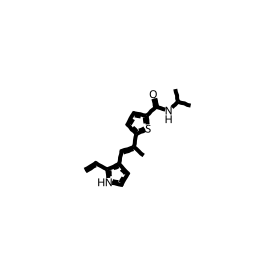 C=Cc1[nH]ccc1/C=C(\C)c1ccc(C(=O)NC(C)C)s1